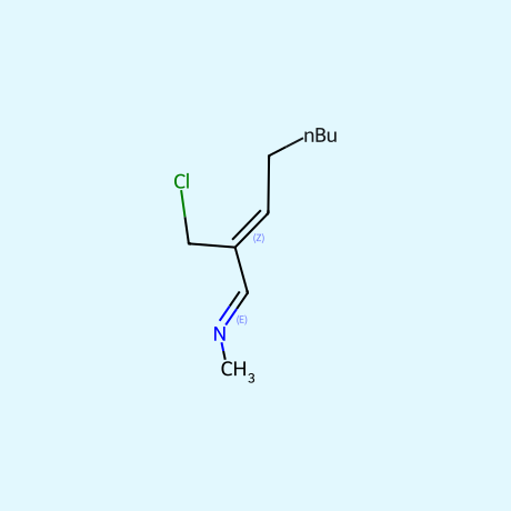 CCCCC/C=C(/C=N/C)CCl